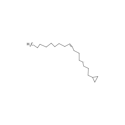 CCCCCCCC/C=C\CCC[CH]CCCC1CC1